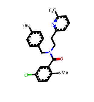 CNc1ccc(Cl)cc1C(=O)N(CCc1cccc(C(F)(F)F)n1)Cc1ccc(C(C)(C)C)cc1